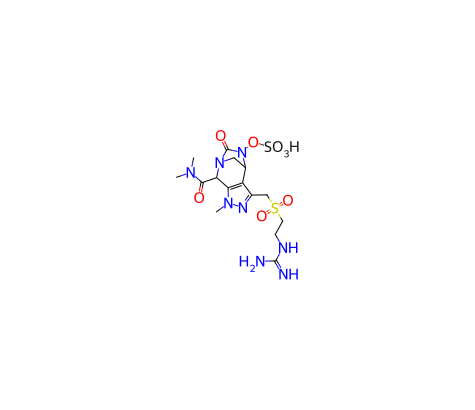 CN(C)C(=O)C1c2c(c(CS(=O)(=O)CCNC(=N)N)nn2C)C2CN1C(=O)N2OS(=O)(=O)O